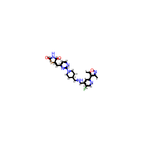 Cc1noc(C)c1-c1cc(CNCC2CCN(c3nccc(C=C4SC(=O)NC4=O)n3)CC2)c(F)cn1